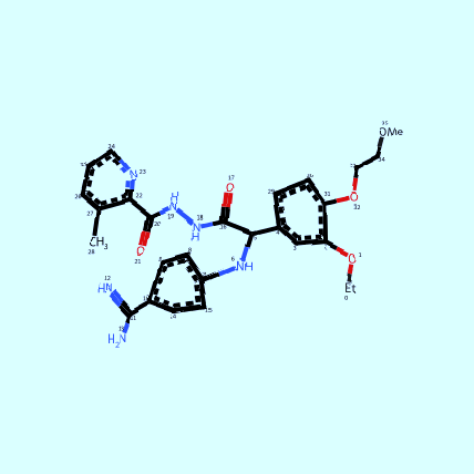 CCOc1cc(C(Nc2ccc(C(=N)N)cc2)C(=O)NNC(=O)c2ncccc2C)ccc1OCCOC